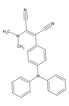 CN(C)/C(C#N)=C(/C#N)c1ccc(N(c2ccccc2)c2ccccc2)cc1